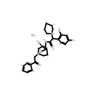 O=C(C[N+]12CCC(CC1)[C@@H](OC(=O)C(c1ccc(F)cc1F)N1CCCCC1)C2)c1ccccc1.[Cl-]